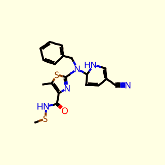 CSNC(=O)c1nc(N(Cc2ccccc2)C2C=CC(C#N)=CN2)sc1C